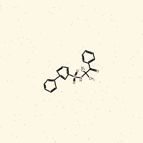 CC(C)(NS(=O)(=O)c1cccc(-c2ccccc2)c1)C(=O)c1ccccc1